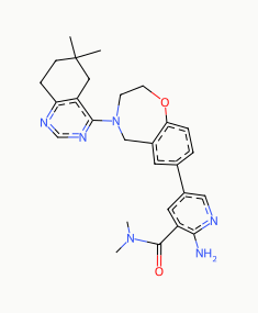 CN(C)C(=O)c1cc(-c2ccc3c(c2)CN(c2ncnc4c2CC(C)(C)CC4)CCO3)cnc1N